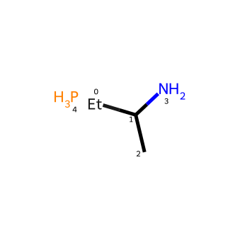 CCC(C)N.P